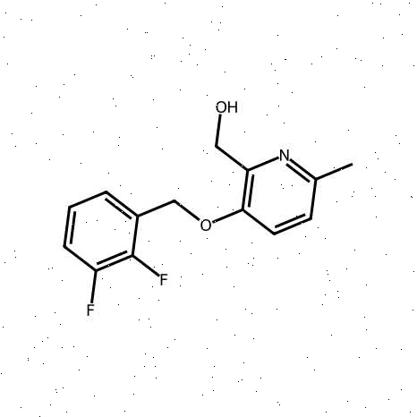 Cc1ccc(OCc2cccc(F)c2F)c(CO)n1